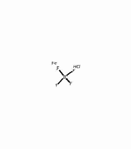 Cl.F[B-](F)(F)F.[Fe]